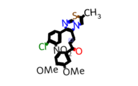 COc1ccc(C(=O)/C=C/c2c(-c3ccc(Cl)c([N+](=O)[O-])c3)nc3sc(C)cn23)cc1OC